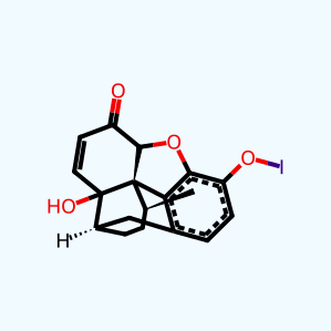 C[C@H]1CC[C@@H]2Cc3ccc(OI)c4c3[C@]13C(O4)C(=O)C=CC23O